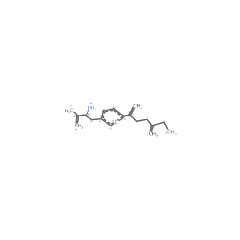 C=C(CC)CCC(=C)c1ccc(CC(N)C(=C)C)cc1